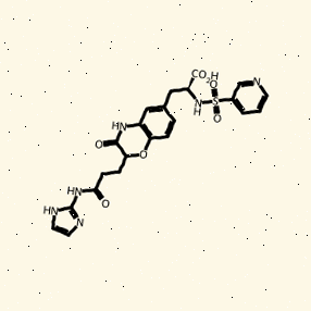 O=C(CCC1Oc2ccc(C[C@H](NS(=O)(=O)c3cccnc3)C(=O)O)cc2NC1=O)Nc1ncc[nH]1